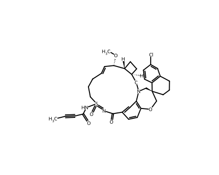 CC#CC(=O)NS1(=O)=NC(=O)c2ccc3c(c2)N(C[C@@H]2CC[C@H]2[C@@H](OC)/C=C/CCC1)C[C@@]1(CCCc2cc(Cl)ccc21)CO3